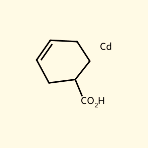 O=C(O)C1CC=CCC1.[Cd]